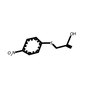 C=C(O)CSc1ccc([N+](=O)[O-])cc1